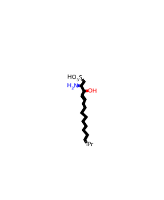 CC(C)CCCCCCCCCC=CC(O)C(N)CS(=O)(=O)O